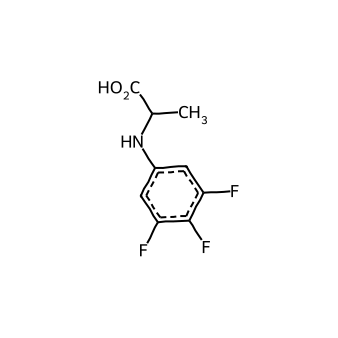 CC(Nc1cc(F)c(F)c(F)c1)C(=O)O